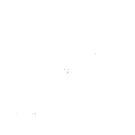 O=C(O)Cc1cn(C(=O)c2ccccc2)c2ccc(F)cc12